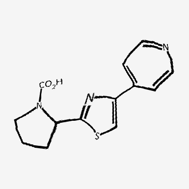 O=C(O)N1CCCC1c1nc(-c2ccncc2)cs1